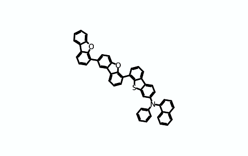 c1ccc(N(c2ccc3c(c2)sc2c(-c4cccc5c4oc4ccc(-c6cccc7c6oc6ccccc67)cc45)cccc23)c2cccc3ccccc23)cc1